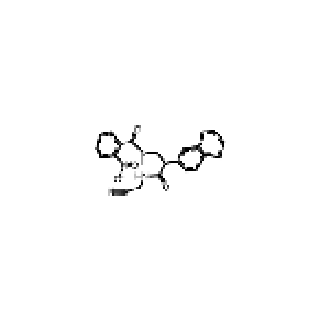 N#CCNC(=O)C(CNC(=O)c1ccccc1[N+](=O)[O-])c1ccc2ccccc2c1